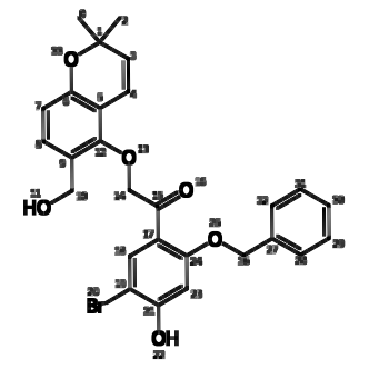 CC1(C)C=Cc2c(ccc(CO)c2OCC(=O)c2cc(Br)c(O)cc2OCc2ccccc2)O1